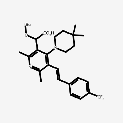 Cc1nc(C)c(C(OC(C)(C)C)C(=O)O)c(N2CCC(C)(C)CC2)c1C=Cc1ccc(C(F)(F)F)cc1